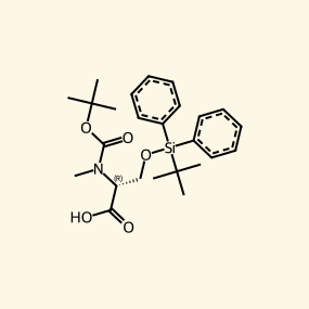 CN(C(=O)OC(C)(C)C)[C@H](CO[Si](c1ccccc1)(c1ccccc1)C(C)(C)C)C(=O)O